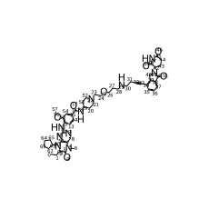 CC[C@@H]1C(=O)N(C)c2cnc(Nc3ccc(C(=O)NC4CCN(CCOCCCNCCC#Cc5cccc6c5CN(C5CCC(=O)NC5=O)C6=O)CC4)cc3OC)nc2N1C1CCCC1